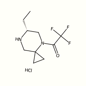 CC[C@@H]1CN(C(=O)C(F)(F)F)C2(CC2)CN1.Cl